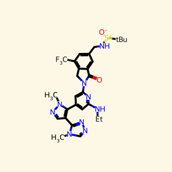 CCNc1cc(-c2c(-c3nncn3C)cnn2C)cc(N2Cc3c(cc(CN[S+]([O-])C(C)(C)C)cc3C(F)(F)F)C2=O)n1